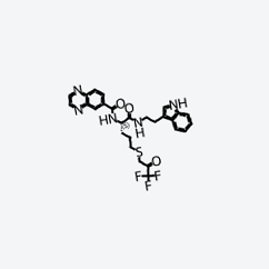 O=C(N[C@@H](CCCSCC(=O)C(F)(F)F)C(=O)NCCc1c[nH]c2ccccc12)c1ccc2nccnc2c1